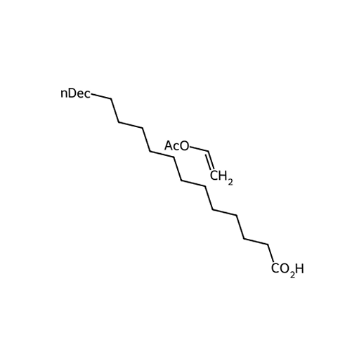 C=COC(C)=O.CCCCCCCCCCCCCCCCCCCCCC(=O)O